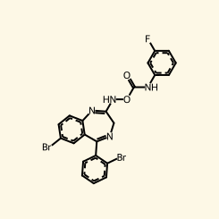 O=C(Nc1cccc(F)c1)ONC1=Nc2ccc(Br)cc2C(c2ccccc2Br)=NC1